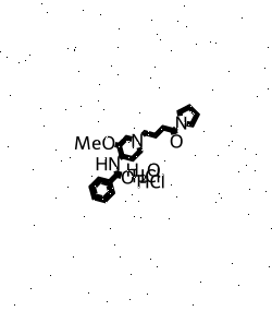 COC1CN(CCCC(=O)N2CCCC2)CCC1NC(=O)c1ccccc1.Cl.Cl.O